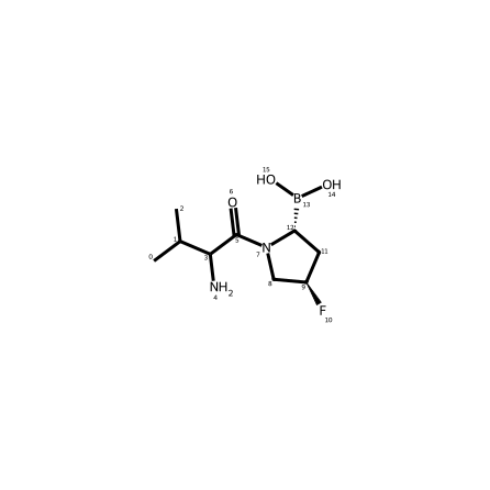 CC(C)C(N)C(=O)N1C[C@H](F)C[C@H]1B(O)O